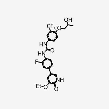 CCOc1cc(-c2ccc(NC(=O)Nc3ccc(OCC(C)O)c(C(F)(F)F)c3)c(F)c2)c[nH]c1=O